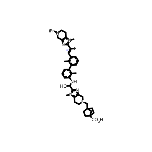 Cc1c(/C=C(\F)c2nc3c(n2C)CCN(C(C)C)C3)cccc1-c1cccc(NC(O)c2nc3c(n2C)CCN(CC24CCC(C(=O)O)(CC2)C4)C3)c1C